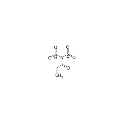 C=CC(=O)N([SH](=O)=O)[SH](=O)=O